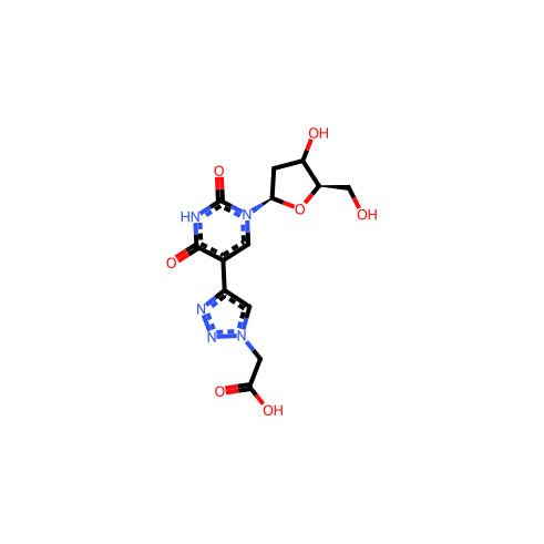 O=C(O)Cn1cc(-c2cn([C@H]3CC(O)[C@@H](CO)O3)c(=O)[nH]c2=O)nn1